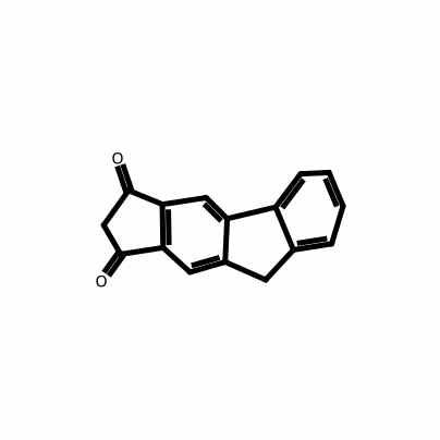 O=C1CC(=O)c2cc3c(cc21)Cc1ccccc1-3